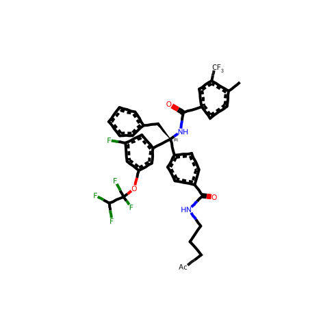 CC(=O)CCCNC(=O)c1ccc([C@@](Cc2ccccc2)(NC(=O)c2ccc(C)c(C(F)(F)F)c2)c2cc(F)cc(OC(F)(F)C(F)F)c2)cc1